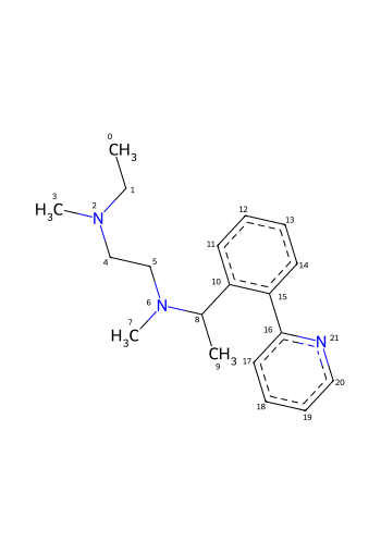 CCN(C)CCN(C)C(C)c1ccccc1-c1ccccn1